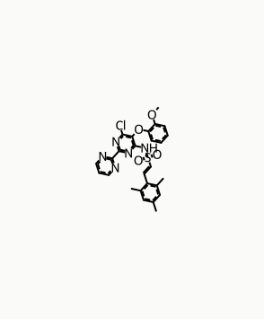 COc1ccccc1Oc1c(Cl)nc(-c2ncccn2)nc1NS(=O)(=O)C=Cc1c(C)cc(C)cc1C